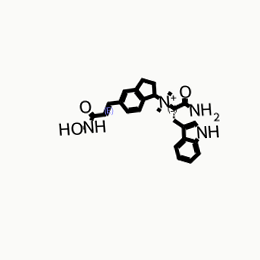 C[N+](C)(C1CCc2cc(/C=C/C(=O)NO)ccc21)[C@@H](Cc1c[nH]c2ccccc12)C(N)=O